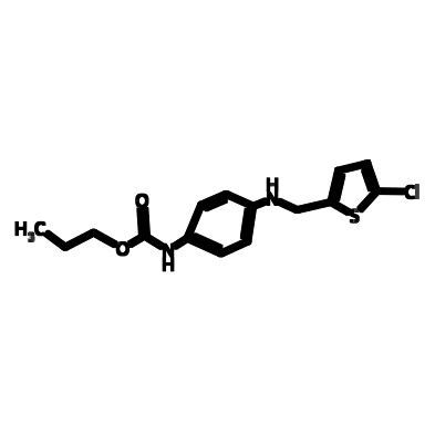 CCCOC(=O)Nc1ccc(NCc2ccc(Cl)s2)cc1